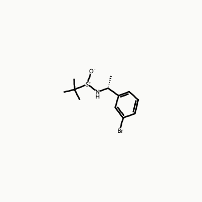 C[C@@H](N[S+]([O-])C(C)(C)C)c1cccc(Br)c1